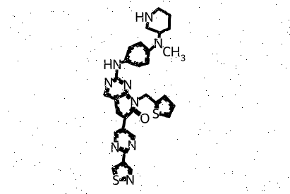 CN(c1ccc(Nc2ncc3cc(-c4cnc(-c5cnsc5)nc4)c(=O)n(Cc4cccs4)c3n2)cc1)C1CCCNC1